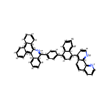 c1cnc2c(c1)ccc1c(-c3ccc(-c4ccc(-c5nc6c7ccccc7c7ccccc7c6c6ccccc56)cc4)c4ccccc34)ccnc12